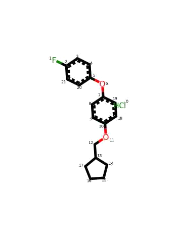 Cl.Fc1ccc(Oc2ccc(OCC3CCCC3)cc2)cc1